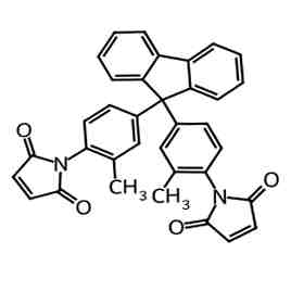 Cc1cc(C2(c3ccc(N4C(=O)C=CC4=O)c(C)c3)c3ccccc3-c3ccccc32)ccc1N1C(=O)C=CC1=O